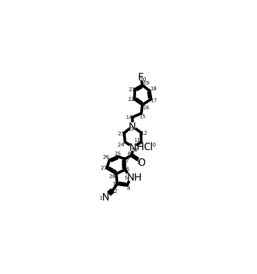 Cl.N#Cc1c[nH]c2c(C(=O)N3CCN(CCc4ccc(F)cc4)CC3)cccc12